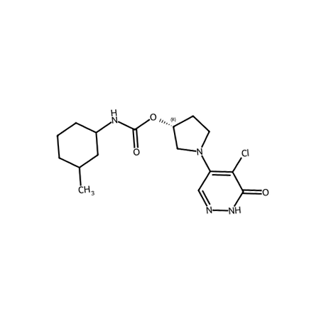 CC1CCCC(NC(=O)O[C@@H]2CCN(c3cn[nH]c(=O)c3Cl)C2)C1